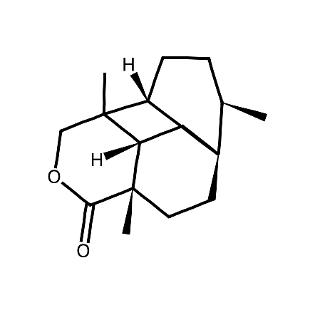 C[C@@H]1CC[C@H]2C3(C)COC(=O)[C@@]4(C)CC[C@@]12C[C@@H]34